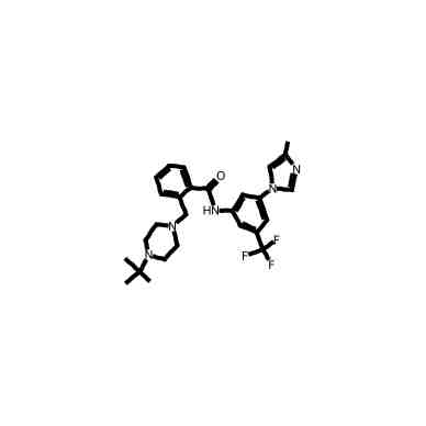 Cc1cn(-c2cc(NC(=O)c3ccccc3CN3CCN(C(C)(C)C)CC3)cc(C(F)(F)F)c2)cn1